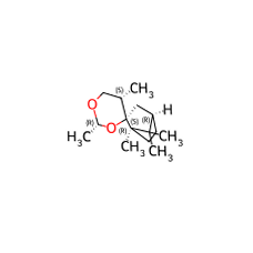 C[C@@H]1OC[C@H](C)[C@]2(C[C@H]3CC[C@]2(C)C3(C)C)O1